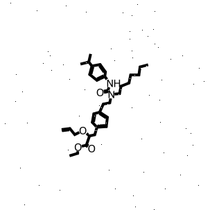 C=CCOC(Cc1ccc(CCN(CCCCCCC)C(=O)Nc2ccc(C(C)C)cc2)cc1)C(=O)OCC